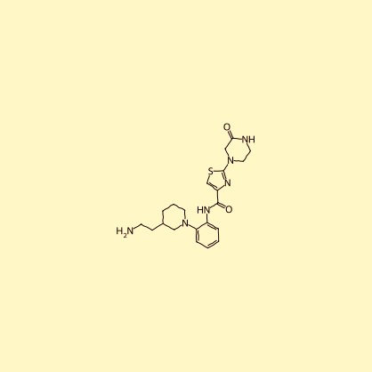 NCCC1CCCN(c2ccccc2NC(=O)c2csc(N3CCNC(=O)C3)n2)C1